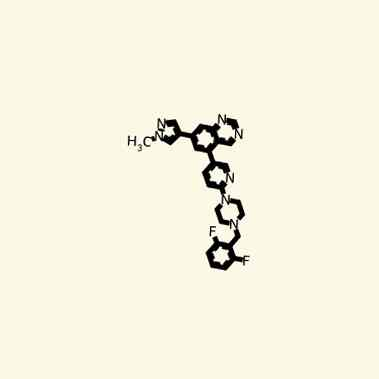 Cn1cc(-c2cc(-c3ccc(N4CCN(Cc5c(F)cccc5F)CC4)nc3)c3cncnc3c2)cn1